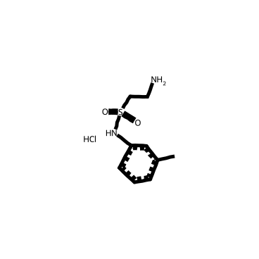 Cc1cccc(NS(=O)(=O)CCN)c1.Cl